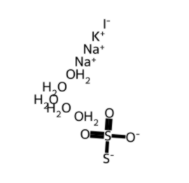 O.O.O.O.O.O=S(=O)([O-])[S-].[I-].[K+].[Na+].[Na+]